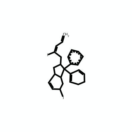 C=C/C=C(/I)CC1CC2C=CC(I)CC2C1(C1=CCCC=C1)c1ccccc1